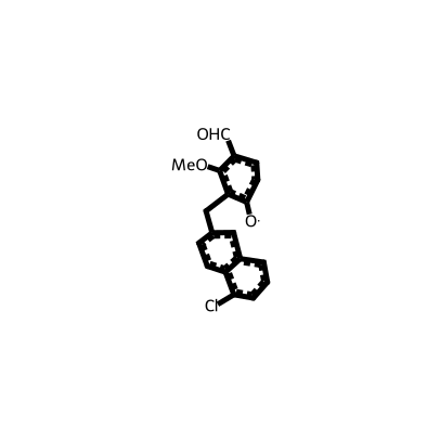 COc1c(C=O)ccc([O])c1Cc1ccc2c(Cl)cccc2c1